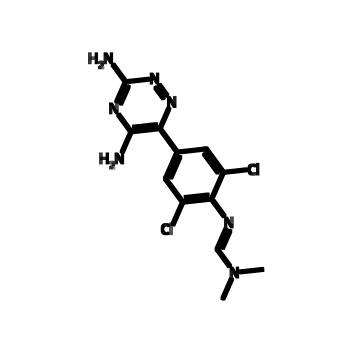 CN(C)C=Nc1c(Cl)cc(-c2nnc(N)nc2N)cc1Cl